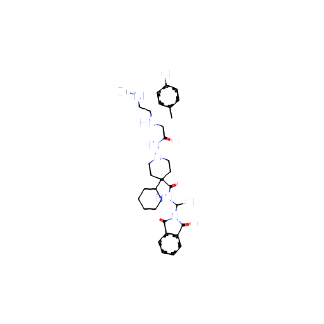 CCNCCN[C@H](Cc1ccc(Cl)cc1)C(=O)NN1CCC(C(=O)NC(C)N2C(=O)c3ccccc3C2=O)(C2CCCCC2)CC1